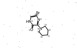 O=c1[nH]cc(Br)nc1N1CCCCC1